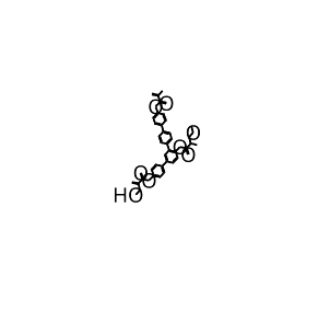 C=C(C)C(=O)Oc1ccc(-c2ccc(-c3cc(-c4ccc(OC(=O)C(=C)CO)cc4)ccc3OC(=O)C(C)COC)cc2)cc1